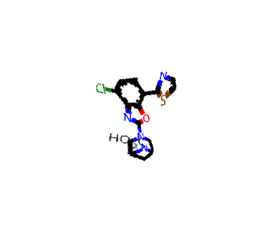 O=C(O)N1C2CC1CN(c1nc3c(Cl)ccc(-c4nccs4)c3o1)C2